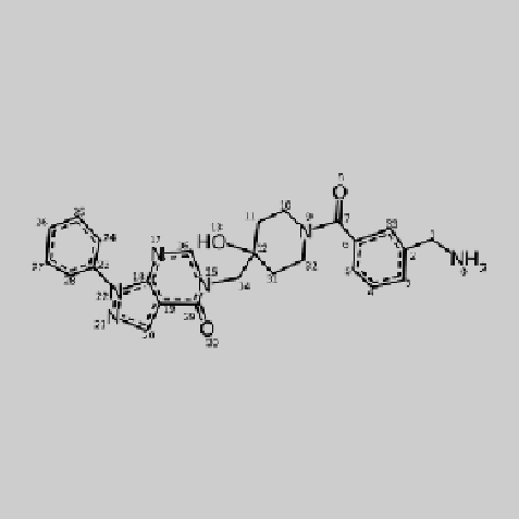 NCc1cccc(C(=O)N2CCC(O)(Cn3cnc4c(cnn4-c4ccccc4)c3=O)CC2)c1